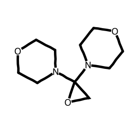 C1CN(C2(N3CCOCC3)CO2)CCO1